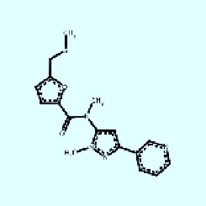 CSCc1ccc(C(=O)N(C)c2cc(-c3cccnc3)nn2C)o1